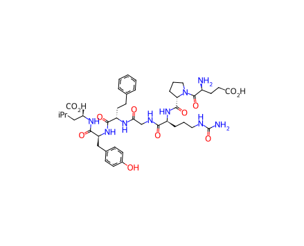 CC(C)C[C@H](NC(=O)[C@H](Cc1ccc(O)cc1)NC(=O)[C@H](CCc1ccccc1)NC(=O)CNC(=O)[C@H](CCCNC(N)=O)NC(=O)[C@@H]1CCCN1C(=O)[C@@H](N)CCC(=O)O)C(=O)O